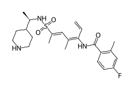 C=C/C(NC(=O)c1ccc(F)cc1C)=C(C)\C=C(/C)S(=O)(=O)N[C@H](C)C1CCNCC1